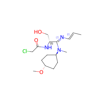 C/C=C/N=C(/[C@@H](CO)NC(=O)CCl)N(C)[C@H]1CC[C@H](OC)CC1